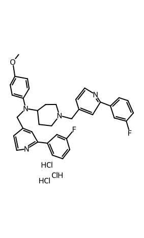 COc1ccc(N(Cc2ccnc(-c3cccc(F)c3)c2)C2CCN(Cc3ccnc(-c4cccc(F)c4)c3)CC2)cc1.Cl.Cl.Cl